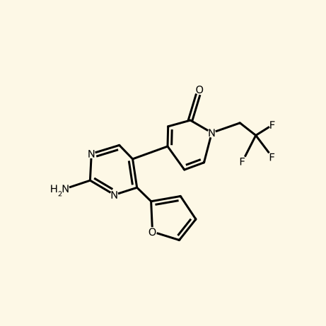 Nc1ncc(-c2ccn(CC(F)(F)F)c(=O)c2)c(-c2ccco2)n1